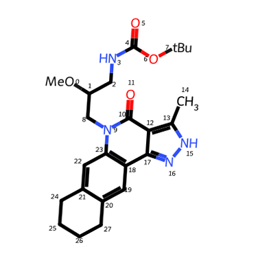 COC(CNC(=O)OC(C)(C)C)Cn1c(=O)c2c(C)[nH]nc2c2cc3c(cc21)CCCC3